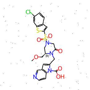 COC[C@H]1CN(S(=O)(=O)c2cc3ccc(Cl)cc3s2)CC(=O)N1Cc1cc2cnccc2n1C(=O)O